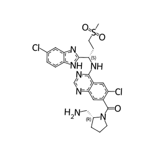 CS(=O)(=O)CC[C@H](Nc1ncnc2cc(C(=O)N3CCC[C@@H]3CN)c(Cl)cc12)c1nc2cc(Cl)ccc2[nH]1